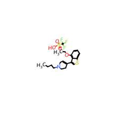 CCCCN1CC=C(c2csc3cccc(OCC)c23)CC1.O=S(=O)(O)C(F)(F)F